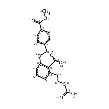 COC(=O)c1ccc(COc2cccc(CCSC(C)=O)c2C(=O)O)cc1